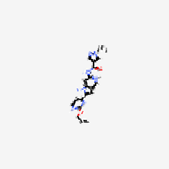 CCOc1nccc(-c2cc3cnc(NC(=O)c4cnn(C)c4)cc3[nH]2)n1